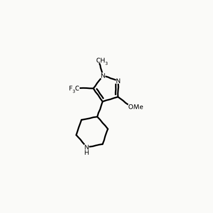 COc1nn(C)c(C(F)(F)F)c1C1CCNCC1